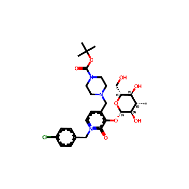 C[C@@H]1[C@@H](O)[C@H](Oc2c(CN3CCN(C(=O)OC(C)(C)C)CC3)ccn(Cc3ccc(Cl)cc3)c2=O)O[C@H](CO)[C@H]1O